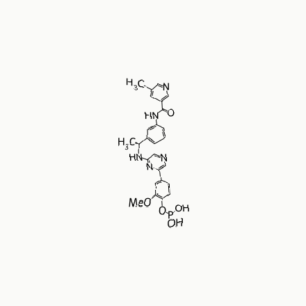 COc1cc(-c2cncc(N[C@@H](C)c3cccc(NC(=O)c4cncc(C)c4)c3)n2)ccc1OP(O)O